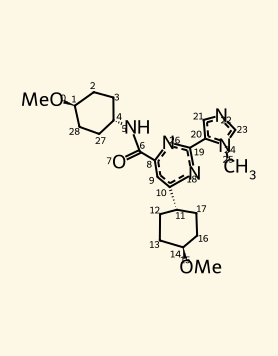 CO[C@H]1CC[C@H](NC(=O)c2cc([C@H]3CC[C@H](OC)CC3)nc(-c3cncn3C)n2)CC1